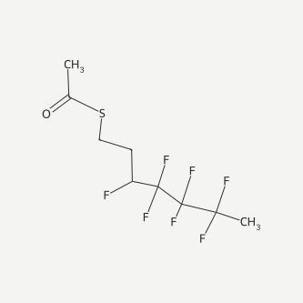 CC(=O)SCCC(F)C(F)(F)C(F)(F)C(C)(F)F